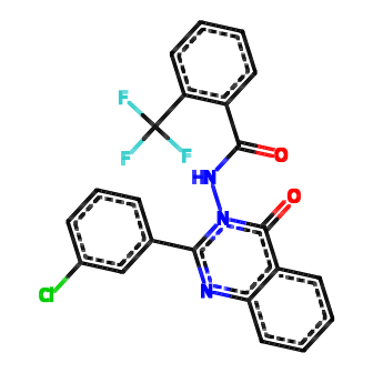 O=C(Nn1c(-c2cccc(Cl)c2)nc2ccccc2c1=O)c1ccccc1C(F)(F)F